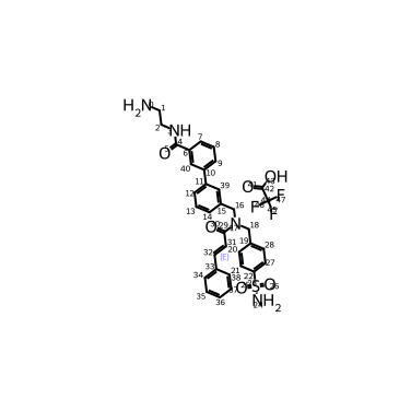 NCCNC(=O)c1cccc(-c2cccc(CN(Cc3ccc(S(N)(=O)=O)cc3)C(=O)/C=C/c3ccccc3)c2)c1.O=C(O)C(F)(F)F